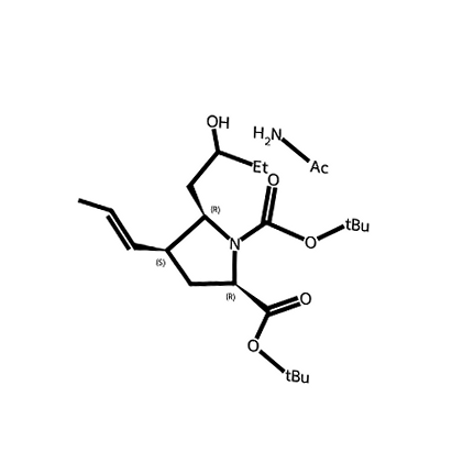 CC(N)=O.CC=C[C@@H]1C[C@H](C(=O)OC(C)(C)C)N(C(=O)OC(C)(C)C)[C@@H]1CC(O)CC